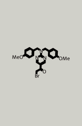 COc1ccc(CN(Cc2ccc(OC)cc2)c2ncc(C(=O)CBr)cn2)cc1